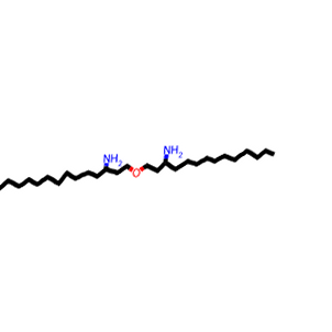 CCCCCCCCCCCC(N)CCOCCC(N)CCCCCCCCCCC